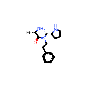 CC[C@H](N)C(=O)N(CCc1ccccc1)C[C@@H]1CCCN1